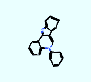 c1ccc(-n2cc3c4ccccc4nc-3c3ccccc32)cc1